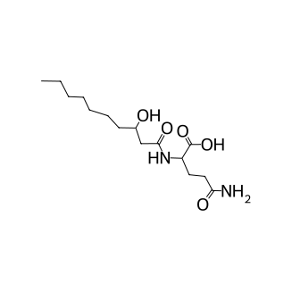 CCCCCCCC(O)CC(=O)NC(CCC(N)=O)C(=O)O